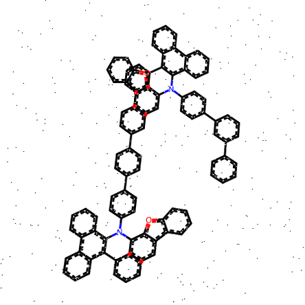 c1ccc(-c2cccc(-c3ccc(N(c4c(-c5cccc(-c6ccc(-c7ccc(-c8ccc(N(c9c(-c%10ccccc%10)c%10ccccc%10c%10ccccc9%10)c9cccc%10c9oc9ccccc9%10)cc8)cc7)cc6)c5)c5ccccc5c5ccccc45)c4cccc5c4oc4ccccc45)cc3)c2)cc1